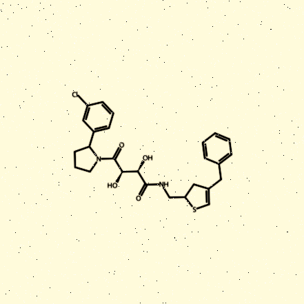 O=C(NCC1CC(Cc2ccccc2)=CS1)[C@H](O)[C@@H](O)C(=O)N1CCCC1c1cccc(Cl)c1